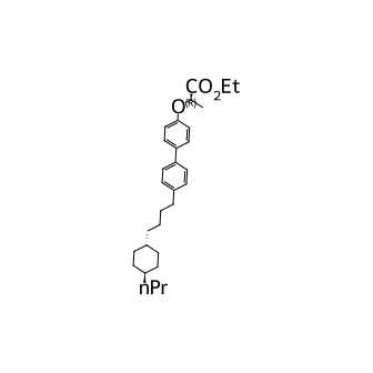 CCC[C@H]1CC[C@H](CCCCc2ccc(-c3ccc(O[C@H](C)C(=O)OCC)cc3)cc2)CC1